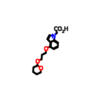 O=C(O)Cn1ccc2c(OCCCOC3CCCCO3)cccc21